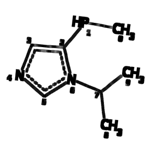 CPc1cncn1C(C)C